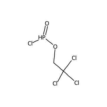 O=[PH](Cl)OCC(Cl)(Cl)Cl